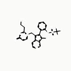 CCCc1nc(=O)ccn1Cc1c2ccocc-2c(Br)c1-c1ccccc1NS(=O)(=O)C(F)(F)F